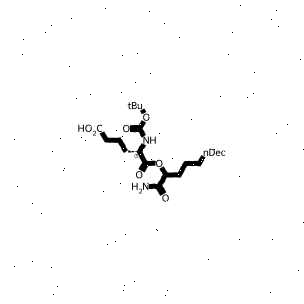 CCCCCCCCCCCCCC(OC(=O)[C@H](CCCC(=O)O)NC(=O)OC(C)(C)C)C(N)=O